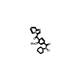 CCN(C(=O)c1ccc(C(=O)c2cnc3ccccn23)c(OC)c1)C1CCCCC1